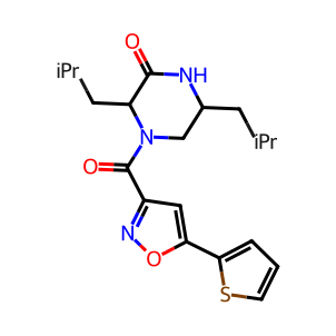 CC(C)CC1CN(C(=O)c2cc(-c3cccs3)on2)C(CC(C)C)C(=O)N1